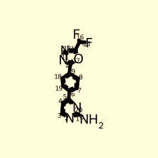 Nc1nccc(-c2ccc(-c3nnc(C(F)F)o3)cc2)n1